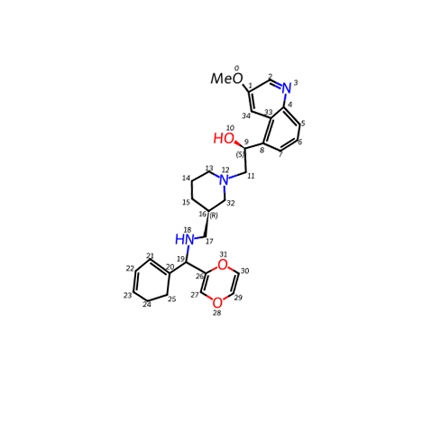 COc1cnc2cccc([C@H](O)CN3CCC[C@H](CNC(C4=CC=CCC4)C4=COC=CO4)C3)c2c1